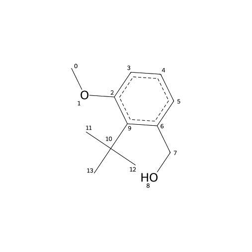 COc1cccc(CO)c1C(C)(C)C